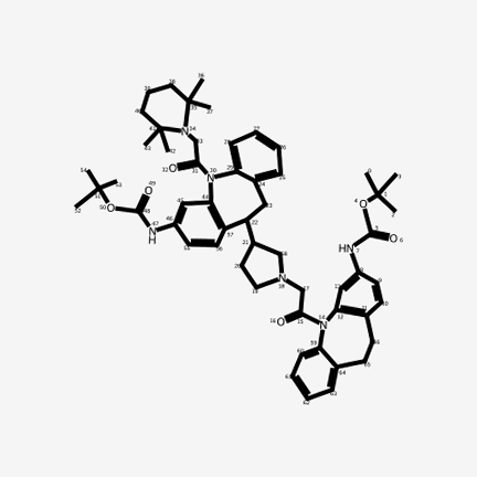 CC(C)(C)OC(=O)Nc1ccc2c(c1)N(C(=O)CN1CCC(C3Cc4ccccc4N(C(=O)CN4C(C)(C)CCCC4(C)C)c4cc(NC(=O)OC(C)(C)C)ccc43)C1)c1ccccc1CC2